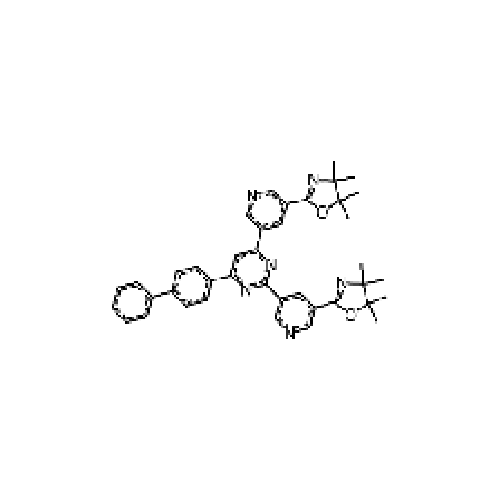 CC1(C)N=C(c2cncc(-c3cc(-c4ccc(-c5ccccc5)cc4)nc(-c4cncc(C5=NC(C)(C)C(C)(C)O5)c4)n3)c2)OC1(C)C